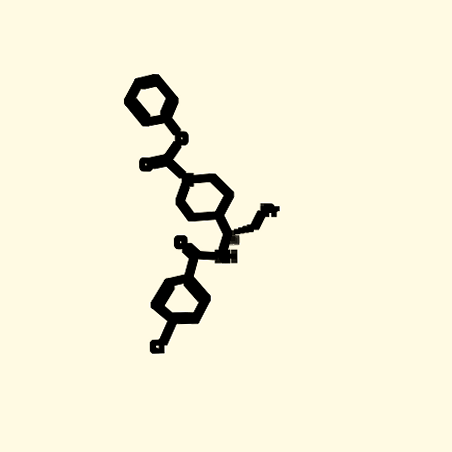 CC(C)C[C@H](NC(=O)c1ccc(Cl)cc1)C1CCN(C(=O)Oc2ccccc2)CC1